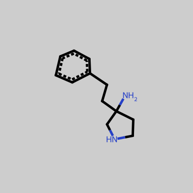 NC1(CCc2ccccc2)CCNC1